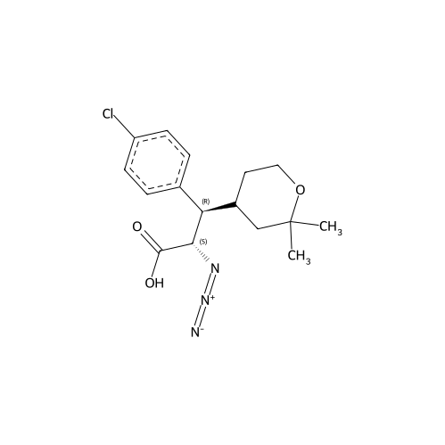 CC1(C)CC([C@H](c2ccc(Cl)cc2)[C@H](N=[N+]=[N-])C(=O)O)CCO1